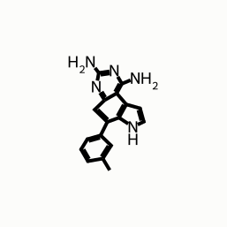 Cc1cccc(-c2cc3nc(N)nc(N)c3c3cc[nH]c23)c1